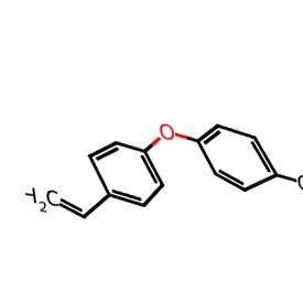 C=Cc1ccc(Oc2ccc(C(F)(F)F)cc2)cc1